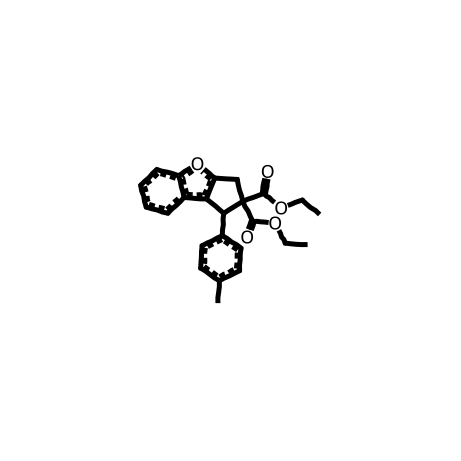 CCOC(=O)C1(C(=O)OCC)Cc2oc3ccccc3c2C1c1ccc(C)cc1